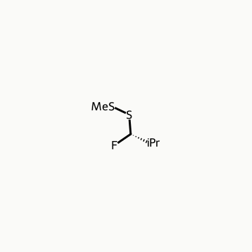 CSS[C@@H](F)C(C)C